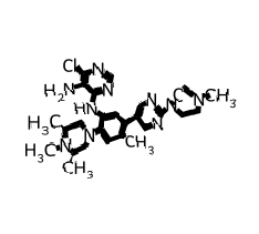 Cc1cc(N2C[C@@H](C)N(C)[C@@H](C)C2)c(Nc2ncnc(Cl)c2N)cc1-c1cnc(N2CCN(C)CC2)nc1